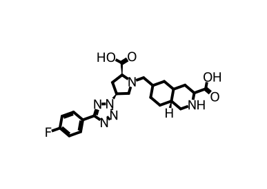 O=C(O)C1CC2CC(CN3C[C@@H](n4nnc(-c5ccc(F)cc5)n4)C[C@H]3C(=O)O)CC[C@H]2CN1